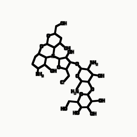 NCC1OC(OC2C(CCl)OC(N3C4C(O)CC(CO)OC4OC4CCC(N)C(O)C43)C2O)C(N)C(O)C1OC1OC(CO)C(O)C(O)C1O